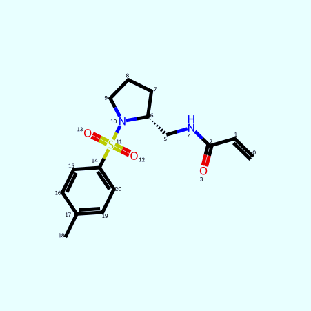 C=CC(=O)NC[C@H]1CCCN1S(=O)(=O)c1ccc(C)cc1